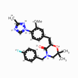 COc1cc(/C=C2/OC(C)(C)CN(Cc3ccc(F)cc3)C2=O)ccc1-n1cnc(C)n1